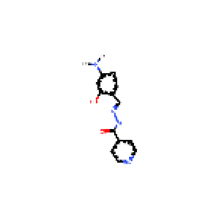 CCN(CC)c1ccc(C=NNC(=O)c2ccncc2)c(O)c1